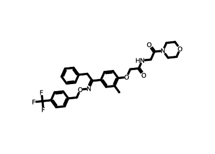 Cc1cc(C(Cc2ccccc2)=NOCc2ccc(C(F)(F)F)cc2)ccc1OCC(=O)NCC(=O)N1CCOCC1